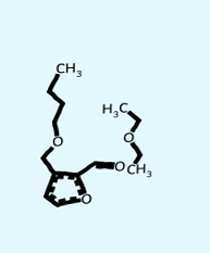 CCCCOCc1ccoc1C=O.CCOCC